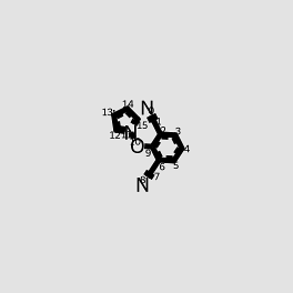 N#Cc1cccc(C#N)c1On1c[c]cc1